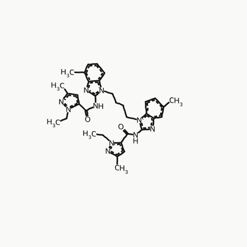 CCn1nc(C)cc1C(=O)Nc1nc2cc(C)ccc2n1CCCCn1c(NC(=O)c2cc(C)nn2CC)nc2c(C)cccc21